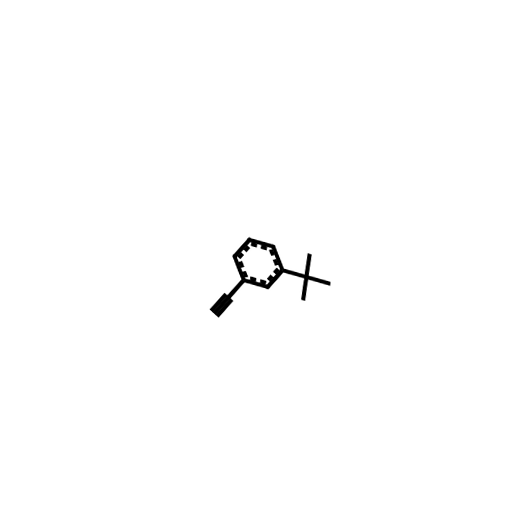 C#Cc1c[c]cc(C(C)(C)C)c1